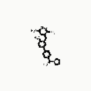 C=C(C)C/C(=C\c1cc(-c2ccc(C(=C)N3CCCC3)cc2)ccc1C)C(=C)C